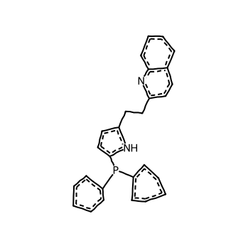 c1ccc(P(c2ccccc2)c2ccc(CCc3ccc4ccccc4n3)[nH]2)cc1